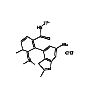 CC1=Cc2cc(C(C)(C)C)cc(C3=C(C(=O)[NH][Ti+2])C=CC(C)C3=[Si](C)C)c2C1.[Cl-].[Cl-]